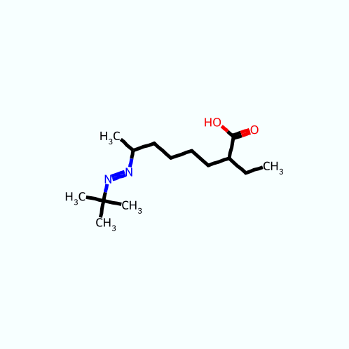 CCC(CCCCC(C)N=NC(C)(C)C)C(=O)O